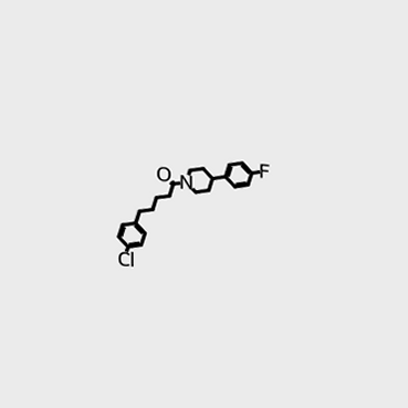 O=C(CCCCc1ccc(Cl)cc1)N1CCC(c2ccc(F)cc2)CC1